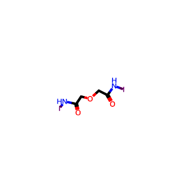 O=C(COCC(=O)NI)NI